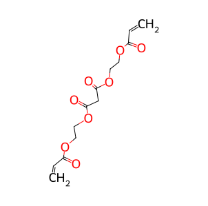 C=CC(=O)OCCOC(=O)CC(=O)OCCOC(=O)C=C